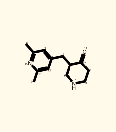 Cc1cc(CC2CNCCC2=O)cc(C)n1